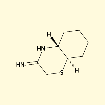 N=C1CS[C@@H]2CCCC[C@H]2N1